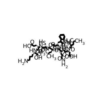 CC(C)C[C@H](NC(=O)[C@H](Cc1c[nH]c2ccccc12)NC(=O)[C@H](CCC(N)=O)NC(=O)[C@H](CC(=O)O)NC(=O)[C@@H](N)CC(C)C)C(=O)N[C@@H](CS)C(=O)N[C@@H](CCC(=O)O)C(=O)N[C@@H](CCCCN)C(=O)O